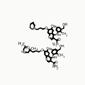 COc1cc2c(Nc3cccc(CO)c3C)c(C(N)=O)cnc2cc1OCCCN1CCCCC1.COc1cc2c(Nc3cccc(CO)c3C)c(C(N)=O)cnc2cc1OCCC[C@]1(C)CNC[C@@H](C)O1